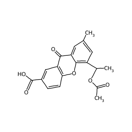 CC(=O)OC(C)c1cc(C)cc2c(=O)c3cc(C(=O)O)ccc3oc12